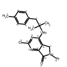 Cc1ccc(CC(C)(C)Nc2nc(Cl)nc3c2CN(C(C)C)C3=O)cc1